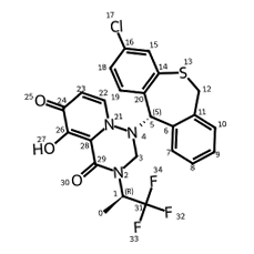 C[C@@H](N1CN([C@H]2c3ccccc3CSc3cc(Cl)ccc32)n2ccc(=O)c(O)c2C1=O)C(F)(F)F